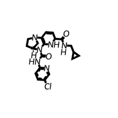 O=C(NCC1CC1)C1C=CC2=C(N1)N(C(=O)Nc1ccc(Cl)cn1)[C@H]1CCN2C1